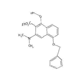 CCCOc1c(C(=O)OCC)c(N(C)C)cc2c(OCc3ccccc3)cccc12